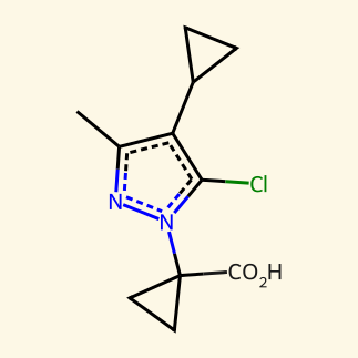 Cc1nn(C2(C(=O)O)CC2)c(Cl)c1C1CC1